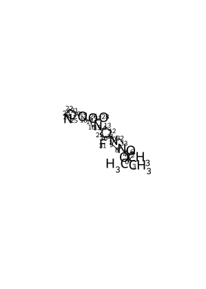 CC(C)(C)OC(=O)N1CCN(c2ccc(N3CC(COc4cccnc4)OC3=O)cc2F)CC1